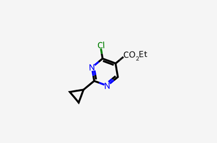 CCOC(=O)c1cnc(C2CC2)nc1Cl